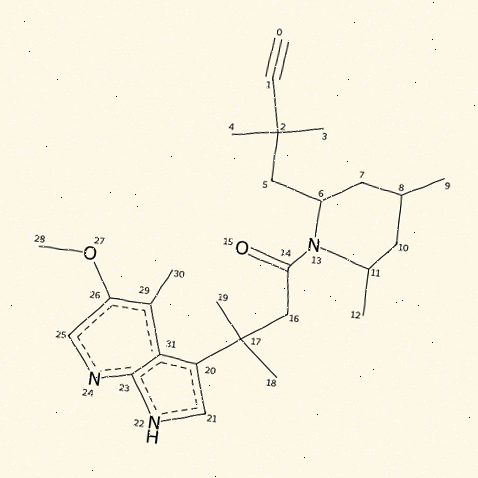 C#CC(C)(C)CC1CC(C)CC(C)N1C(=O)CC(C)(C)c1c[nH]c2ncc(OC)c(C)c12